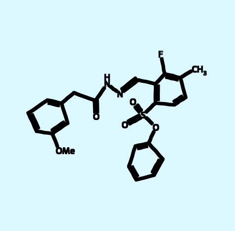 COc1cccc(CC(=O)NN=Cc2c(S(=O)(=O)Oc3ccccc3)ccc(C)c2F)c1